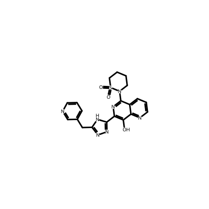 O=S1(=O)CCCCN1c1nc(-c2nnc(Cc3cccnc3)[nH]2)c(O)c2ncccc12